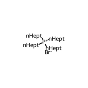 CCCCCCC[P+](CCCCCCC)(CCCCCCC)CCCCCCC.[Br-]